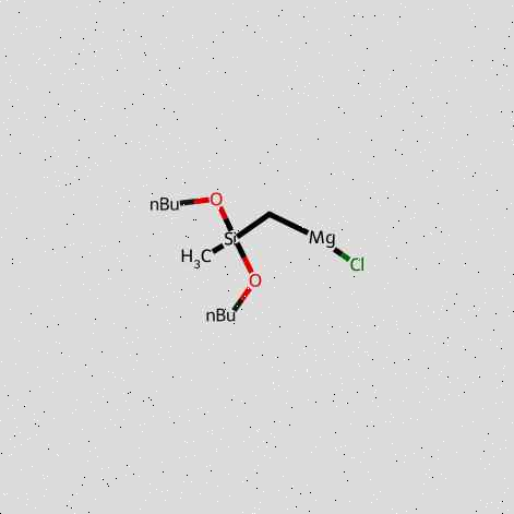 CCCCO[Si](C)([CH2][Mg][Cl])OCCCC